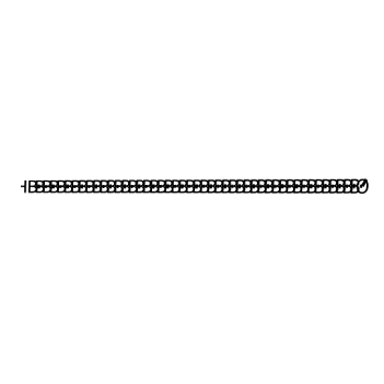 B=BB=BB=BB=BB=BB=BB=BB=BB=BB=BB=BB=BB=BB=BB=BB=BB=BB=BB=BB=BB=BB=BB=BOC